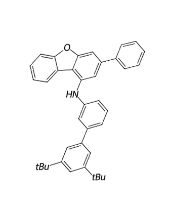 CC(C)(C)c1cc(-c2cccc(Nc3cc(-c4ccccc4)cc4oc5ccccc5c34)c2)cc(C(C)(C)C)c1